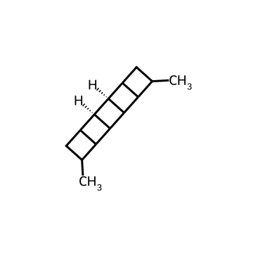 CC1CC2C1C1C3C4C(C)CC4[C@@H]3[C@H]21